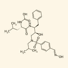 CC(C)C[C@H](NC(=O)O)C(=O)N[C@@H](Cc1ccccc1)[C@@H](O)CN(CC(C)C)S(=O)(=O)c1ccc(C=NO)cc1